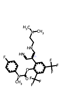 CN(C)CCN/C=C(\C=N)c1cc(C(F)(F)F)cc(C(F)(F)F)c1OC(=O)N(C)c1ccc(F)cc1